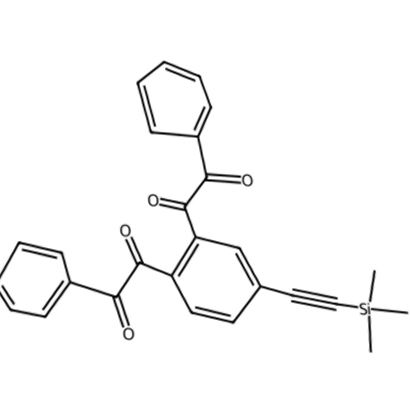 C[Si](C)(C)C#Cc1ccc(C(=O)C(=O)c2ccccc2)c(C(=O)C(=O)c2ccccc2)c1